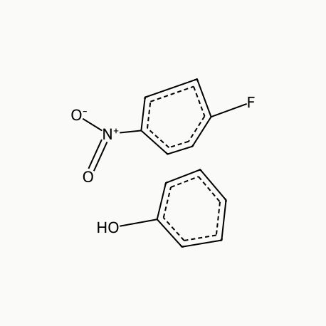 O=[N+]([O-])c1ccc(F)cc1.Oc1ccccc1